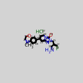 CN1CCOc2cc(-c3ccn4c(=O)n(C/C(=C/F)CN)nc4c3)ccc21.Cl